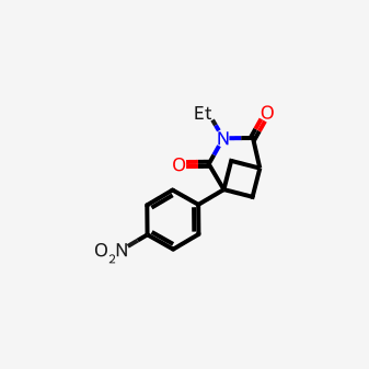 CCN1C(=O)C2CC(c3ccc([N+](=O)[O-])cc3)(C2)C1=O